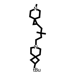 CN1CCC2(CC1)CC2CC(C)(C)CCN1CCC2(CC1)CC(C(C)(C)C)C2